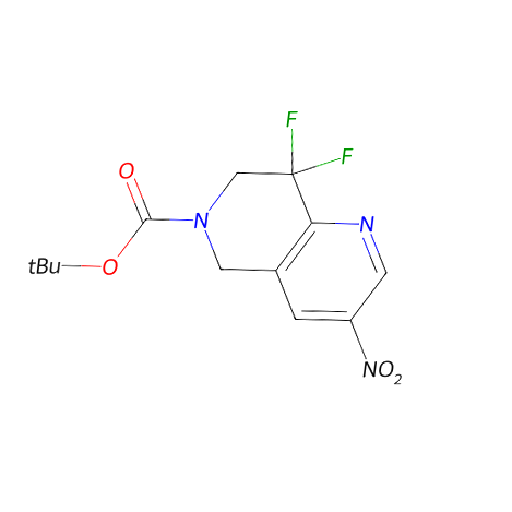 CC(C)(C)OC(=O)N1Cc2cc([N+](=O)[O-])cnc2C(F)(F)C1